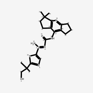 CC(C)(CO)c1ncc(/S(N)=N/C(=O)Nc2c3c(nc4c2CCC4(C)C)CCC3)s1